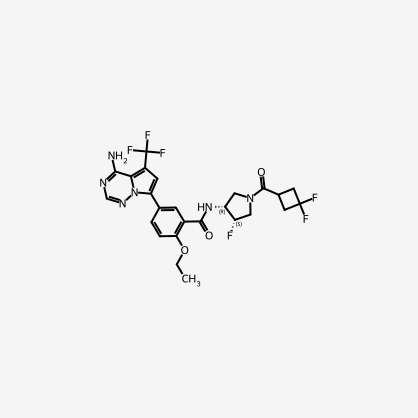 CCOc1ccc(-c2cc(C(F)(F)F)c3c(N)ncnn23)cc1C(=O)N[C@@H]1CN(C(=O)C2CC(F)(F)C2)C[C@@H]1F